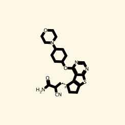 N#CC(C[C@H]1CCc2sc3ncnc(OC4CCC(N5CCOCC5)CC4)c3c21)C(N)=O